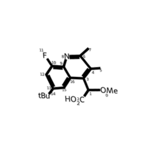 COC(C(=O)O)c1c(C)c(C)nc2c(F)cc(C(C)(C)C)cc12